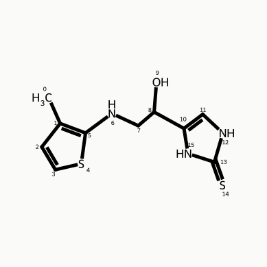 Cc1ccsc1NCC(O)c1c[nH]c(=S)[nH]1